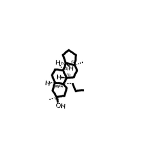 CCC[C@]12CC[C@@](C)(O)C[C@H]1CC[C@H]1[C@@H]3CCC[C@@]3(C)CC[C@@H]12